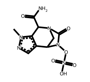 Cn1ncc2c1C(C(N)=O)N1CC2N(OS(=O)(=O)O)C1=O